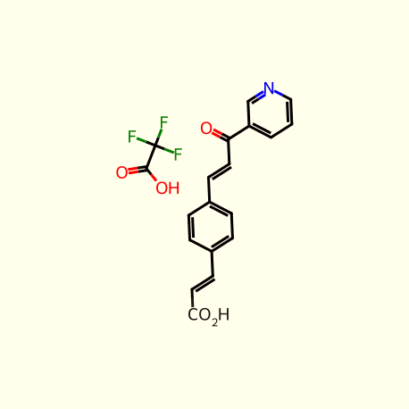 O=C(O)C(F)(F)F.O=C(O)C=Cc1ccc(C=CC(=O)c2cccnc2)cc1